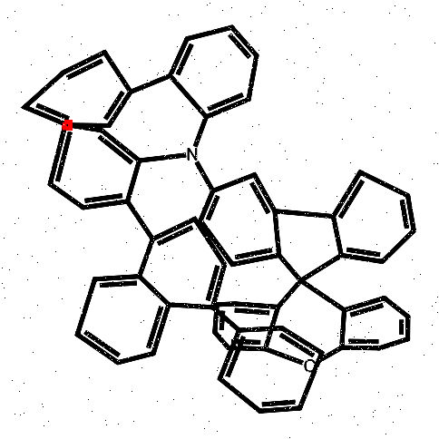 c1ccc(-c2ccccc2N(c2ccc3c(c2)-c2ccccc2C32c3ccccc3Oc3ccccc32)c2ccccc2-c2ccc(-c3ccccc3)c3ccccc23)cc1